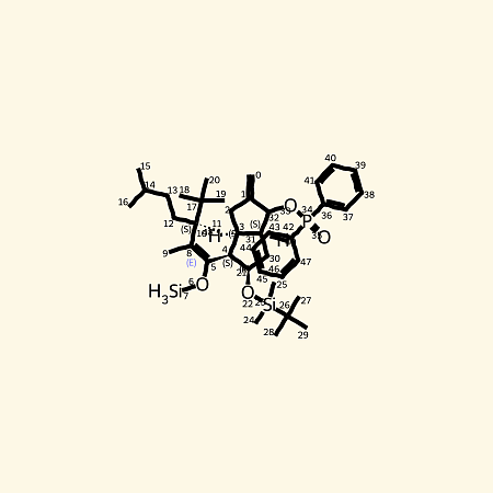 C=C1C[C@@H]2[C@H](/C(O[SiH3])=C(/C)[C@@](C)(CCC(C)C)C(C)(C)C)[C@H](O[Si](C)(C)C(C)(C)C)C[C@@H]2C1OP(=O)(c1ccccc1)c1ccccc1